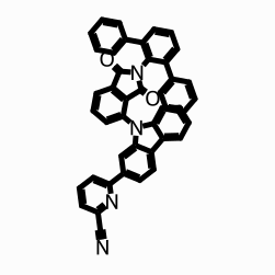 N#Cc1cccc(-c2ccc3c4ccccc4n(-c4cccc5c4C(=O)N(c4c(-c6ccccc6)cccc4-c4ccccc4)C5=O)c3c2)n1